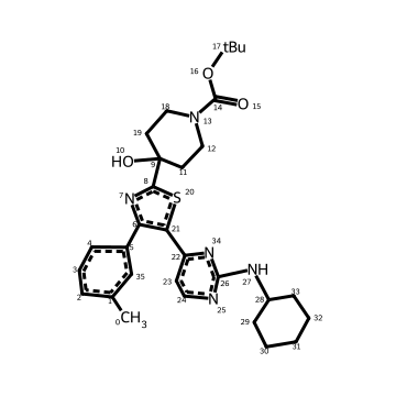 Cc1cccc(-c2nc(C3(O)CCN(C(=O)OC(C)(C)C)CC3)sc2-c2ccnc(NC3CCCCC3)n2)c1